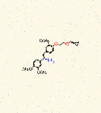 COc1ccc(/C(N)=C/c2ccc(OCCOC=C3CC3)c(OC)c2)cc1OC